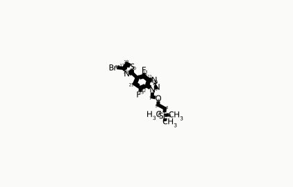 C[Si](C)(C)CCOCn1nnc2c(F)c(-c3nc(Br)cs3)cc(F)c21